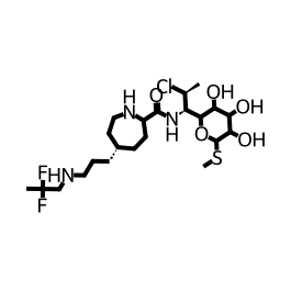 CSC1OC([C@H](NC(=O)C2CC[C@H](CCCNCC(C)(F)F)CCN2)[C@H](C)Cl)C(O)C(O)C1O